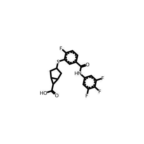 O=C(Nc1cc(F)c(F)c(F)c1)c1ccc(F)c(SC2CC3C(C2)C3C(=O)O)c1